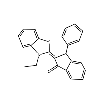 CCN1C(=C2C(=O)c3ccccc3C2c2ccccc2)Sc2ccccc21